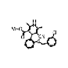 COC(=O)C1=C(C)NC(C)=C(C#N)C1c1ccccc1SCc1cccc(Cl)c1